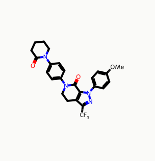 COc1ccc(-n2nc(C(F)(F)F)c3c2C(=O)N(c2ccc(N4CCCCC4=O)cc2)CC3)cc1